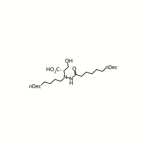 CCCCCCCCCCCCCCCC(=O)NN(CCCCCCCCCCCCCC)[C@@H](CO)C(=O)O